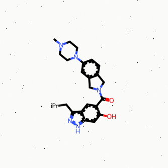 CC(C)Cc1n[nH]c2cc(O)c(C(=O)N3Cc4ccc(N5CCN(C)CC5)cc4C3)cc12